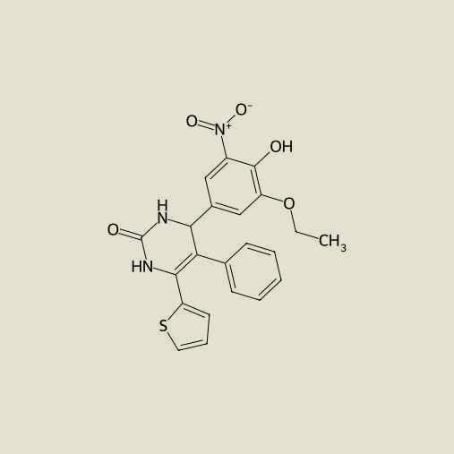 CCOc1cc(C2NC(=O)NC(c3cccs3)=C2c2ccccc2)cc([N+](=O)[O-])c1O